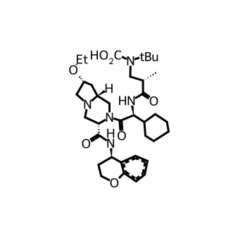 CCO[C@@H]1C[C@@H]2CN(C(=O)[C@@H](NC(=O)[C@@H](C)CN(C(=O)O)C(C)(C)C)C3CCCCC3)[C@H](C(=O)N[C@@H]3CCOc4ccccc43)CN2C1